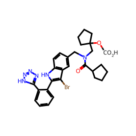 O=C(O)OC1(CN(Cc2ccc3[nH]c(-c4ccccc4-c4nnn[nH]4)c(Br)c3c2)C(=O)C2CCCC2)CCCC1